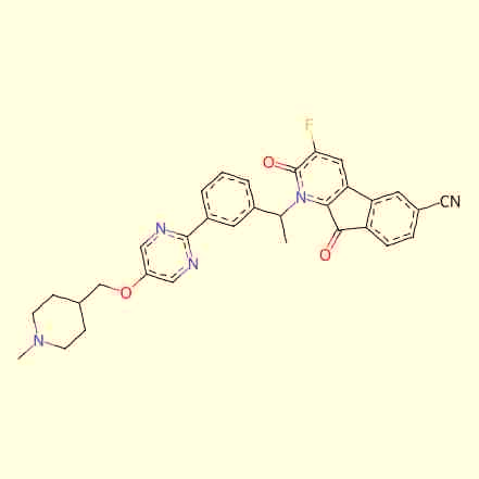 CC(c1cccc(-c2ncc(OCC3CCN(C)CC3)cn2)c1)n1c2c(cc(F)c1=O)-c1cc(C#N)ccc1C2=O